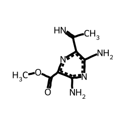 COC(=O)c1nc(C(C)=N)c(N)nc1N